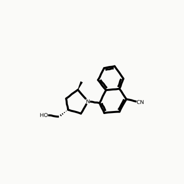 C[C@@H]1C[C@@H](CO)CN1c1ccc(C#N)c2ccccc12